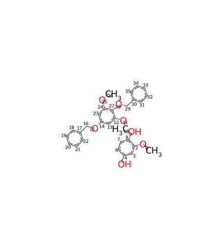 COc1cc(O)ccc1O.COc1cc(OCc2ccccc2)cc(OC)c1OCc1ccccc1